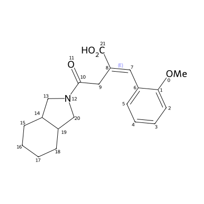 COc1ccccc1/C=C(\CC(=O)N1CC2CCCCC2C1)C(=O)O